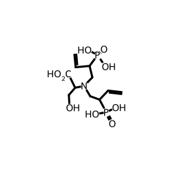 C=CC(CN(CC(C=C)P(=O)(O)O)C(CO)C(=O)O)P(=O)(O)O